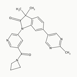 Cc1ncc(-c2ccc3c(c2)N(c2cncc(C(=O)N4CCC4)c2)C(=O)C3(C)C)cn1